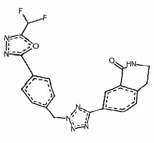 O=C1NCCc2ccc(-c3nnn(Cc4ccc(-c5nnc(C(F)F)o5)cc4)n3)cc21